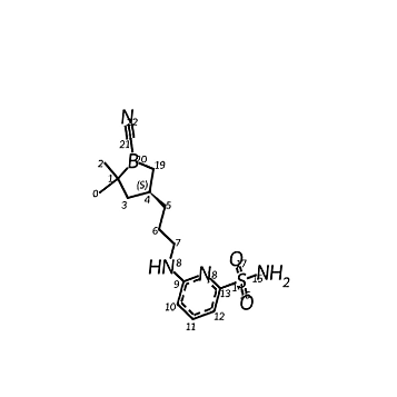 CC1(C)C[C@H](CCCNc2cccc(S(N)(=O)=O)n2)CB1C#N